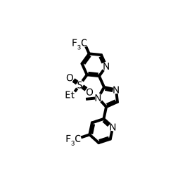 CCS(=O)(=O)c1cc(C(F)(F)F)cnc1-c1ncc(-c2cc(C(F)(F)F)ccn2)n1C